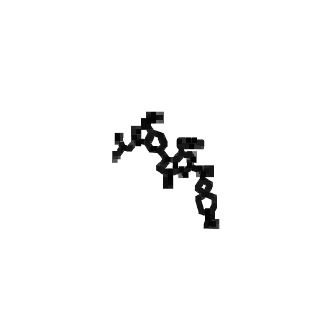 COc1nc(NC2CC3(CCN(C(C)=O)CC3)C2)nc2[nH]cc(-c3ccc(N=N)c(NCC(F)F)c3)c12